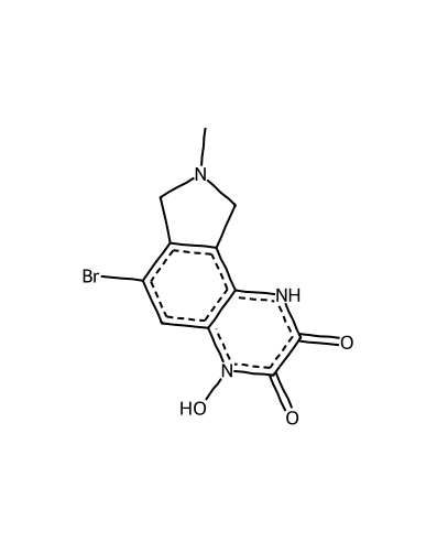 CN1Cc2c(Br)cc3c([nH]c(=O)c(=O)n3O)c2C1